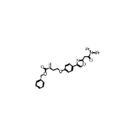 CC(C)N(C(=O)Cc1nc(-c2ccc(OCCNC(=O)OCc3ccccc3)cc2)co1)C(C)C